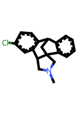 CN1CC2c3cc(Cl)ccc3C3CC2(C1)c1ccccc13